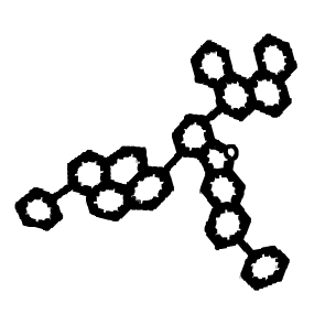 c1ccc(-c2ccc3cc4c(cc3c2)oc2c(-c3cc5ccc6ccccc6c5c5ccccc35)ccc(-c3ccc5ccc6c(-c7ccccc7)ccc7ccc3c5c76)c24)cc1